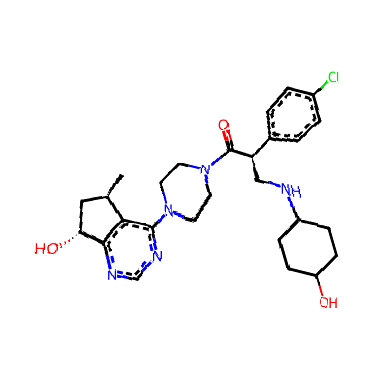 C[C@@H]1C[C@@H](O)c2ncnc(N3CCN(C(=O)[C@H](CNC4CCC(O)CC4)c4ccc(Cl)cc4)CC3)c21